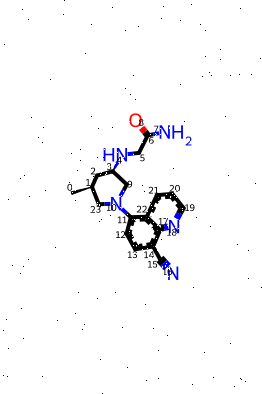 C[C@H]1C[C@@H](NCC(N)=O)CN(c2ccc(C#N)c3ncccc23)C1